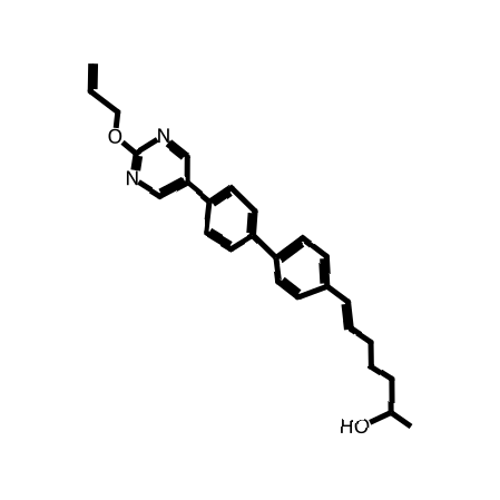 C=CCOc1ncc(-c2ccc(-c3ccc(/C=C/CCCC(C)O)cc3)cc2)cn1